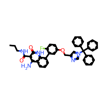 CCCNC(=O)c1c(N)c2cccc(-c3cc(OCc4cn(C(c5ccccc5)(c5ccccc5)c5ccccc5)cn4)ccc3F)c2[nH]c1=O